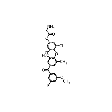 COc1cc(F)cc(C(=O)c2cc(C)c(Oc3c(Cl)cc(OC(=O)CN)cc3Cl)c(C)c2)c1